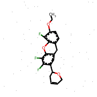 CCOc1ccc2c(c1F)Oc1c(cc(C3CC=CCO3)c(F)c1F)C2